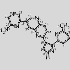 Cc1cccc(-c2n[nH]cc2-c2ccc3ncc(-c4cncc(N)n4)cc3n2)n1